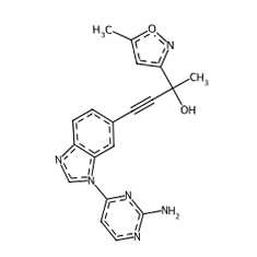 Cc1cc(C(C)(O)C#Cc2ccc3ncn(-c4ccnc(N)n4)c3c2)no1